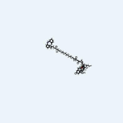 CCCC1O[C@@H]2C[C@H]3[C@@H]4CCC5=CC(=O)C=C[C@]5(C)[C@H]4[C@@H](O)C[C@]3(C)[C@]2(C(=O)COC2CCN2C(=O)CNC(=O)CCOCCOCCOCCOCCNC(=O)CCC(=O)N2Cc3ccccc3/C=C\c3ccccc32)O1